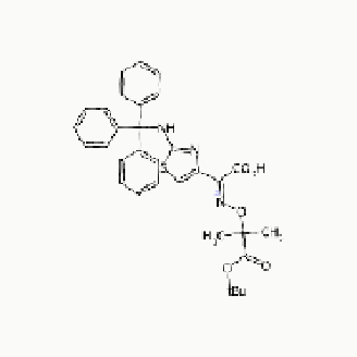 CC(C)(C)OC(=O)C(C)(C)O/N=C(\C(=O)O)c1csc(NC(c2ccccc2)(c2ccccc2)c2ccccc2)n1